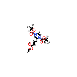 CCOC(=O)C=CC[C@H]1CN(C(=O)OC(C)(C)C)CCN1C(=O)OC(C)(C)C